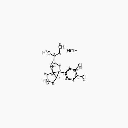 CCC(C)OCC1(c2ccc(Cl)c(Cl)c2)C2CNC[C@@H]21.Cl